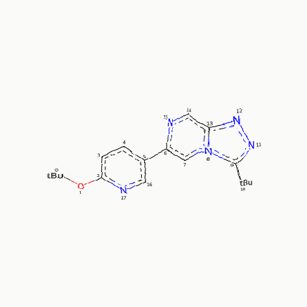 CC(C)(C)Oc1ccc(-c2cn3c(C(C)(C)C)nnc3cn2)cn1